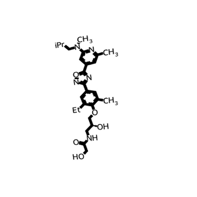 CCc1cc(-c2noc(-c3cc(C)nc(N(C)CC(C)C)c3)n2)cc(C)c1OC[C@@H](O)CNC(=O)CO